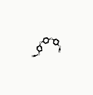 N#COc1ccc(Oc2ccc(Oc3ccc(OC#N)cc3)cc2)cc1